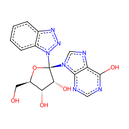 OC[C@H]1O[C@](n2cnc3c(O)ncnc32)(n2nnc3ccccc32)[C@H](O)[C@@H]1O